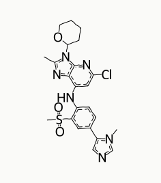 Cc1nc2c(Nc3ccc(-c4cncn4C)cc3S(C)(=O)=O)cc(Cl)nc2n1C1CCCCO1